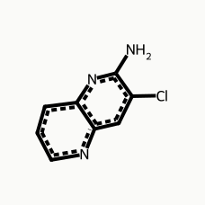 Nc1nc2cccnc2cc1Cl